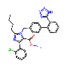 CCCCc1nc(-c2ccccc2Cl)c(C(=O)ON)n1Cc1ccc(-c2ccccc2-c2nnn[nH]2)cc1